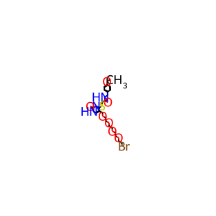 COc1ccc(CNC(=O)CSc2nc(=O)[nH]cc2COCCOCCOCCOCCBr)cc1